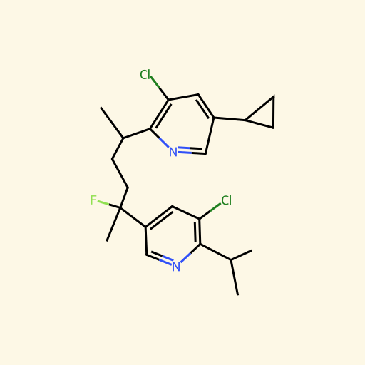 CC(C)c1ncc(C(C)(F)CCC(C)c2ncc(C3CC3)cc2Cl)cc1Cl